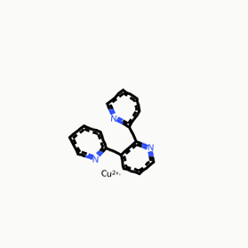 [Cu+2].c1ccc(-c2cccnc2-c2ccccn2)nc1